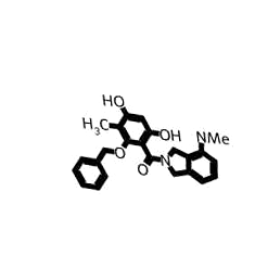 CNc1cccc2c1CN(C(=O)c1c(O)cc(O)c(C)c1OCc1ccccc1)C2